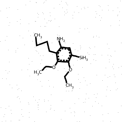 CCCCc1c(N)cc([SiH3])c(OCC)c1OCC